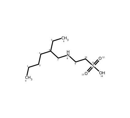 CCCCC(CC)CNCCS(=O)(=O)O